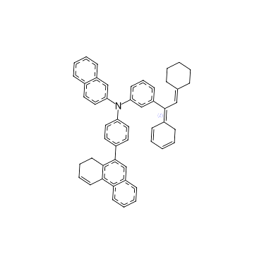 C1=CC/C(=C(\C=C2CCCCC2)c2cccc(N(c3ccc(-c4cc5ccccc5c5c4CCC=C5)cc3)c3ccc4ccccc4c3)c2)C=C1